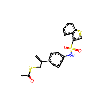 C=C(CSC(C)=O)c1ccc(NS(=O)(=O)c2csc3ccccc23)cc1